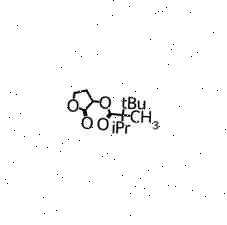 CC(C)C(C)(C(=O)OC1CCOC1=O)C(C)(C)C